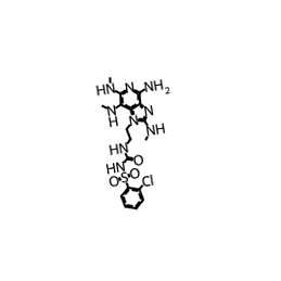 CNc1nc(N)c2nc(NC)n(CCNC(=O)NS(=O)(=O)c3ccccc3Cl)c2c1NC